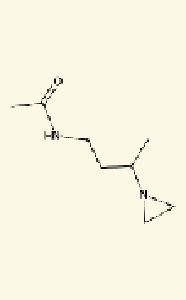 CC(=O)NCCC(C)N1CC1